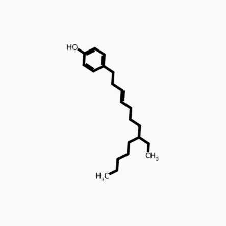 CCCCCC(CC)CCCC=CCCc1ccc(O)cc1